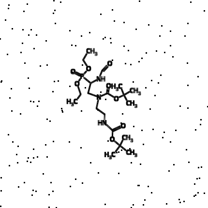 CCOP(=O)(OCC)C(CN(CCNC(=O)OC(C)(C)C)C(=O)OC(C)(C)C)NC=O